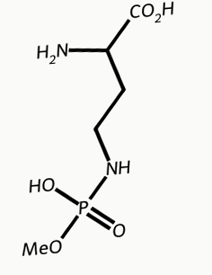 COP(=O)(O)NCCC(N)C(=O)O